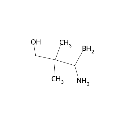 BC(N)C(C)(C)CO